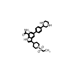 CCS(=O)(=O)N1CCC(c2c[nH]c3c(C(N)=O)cc(-c4ccc(C5CNCCN5)cc4)cc23)CC1